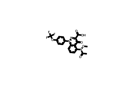 CON(C(C)=O)c1cccc2c1c(=O)c(C(=O)O)nn2-c1ccc(OC(F)(F)F)cc1